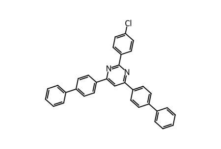 Clc1ccc(-c2nc(-c3ccc(-c4ccccc4)cc3)cc(-c3ccc(-c4ccccc4)cc3)n2)cc1